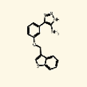 Nc1[nH]nnc1-c1cccc(OCc2csc3ccccc23)c1